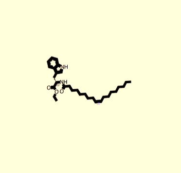 CCCCCCCC/C=C\CCCCCCCC(=O)N[C@@H](Cc1c[nH]c2ccccc12)C(=O)OCC